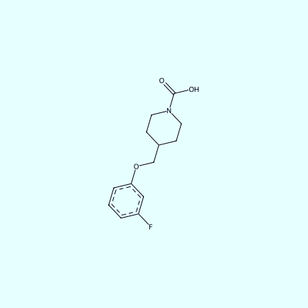 O=C(O)N1CCC(COc2cccc(F)c2)CC1